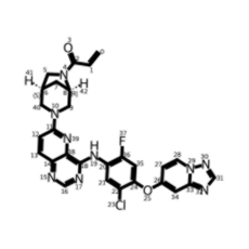 C=CC(=O)N1C[C@H]2C[C@@H]1CN(c1ccc3ncnc(Nc4cc(Cl)c(Oc5ccn6ncnc6c5)cc4F)c3n1)C2